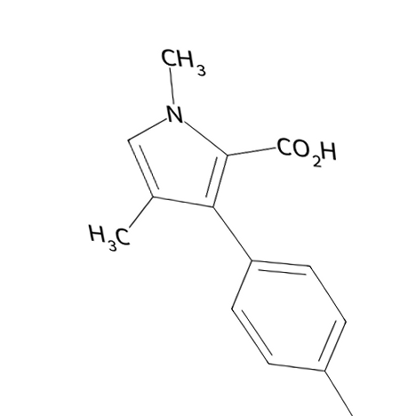 COc1ccc(-c2c(C)cn(C)c2C(=O)O)cc1